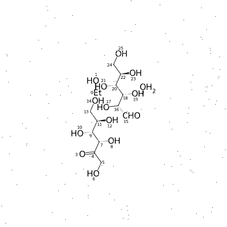 CCO.O.O=C(CO)[C@@H](O)[C@H](O)[C@H](O)CO.O=C[C@H](O)[C@@H](O)[C@H](O)[C@H](O)CO